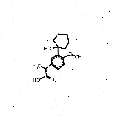 COc1ccc(C(C)C(=O)O)cc1C1(C)CCCCC1